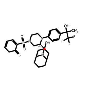 CC(O)(c1ccc(N2CCN(S(=O)(=O)C3=CC=CCC3=S)C[C@@H]2CN2C3CCCC2CC(O)C3)cc1)C(F)(F)F